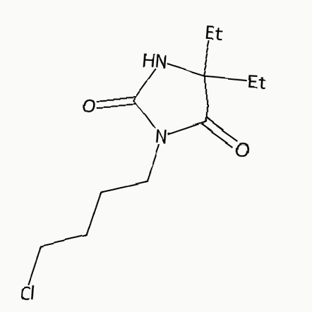 CCC1(CC)NC(=O)N(CCCCCl)C1=O